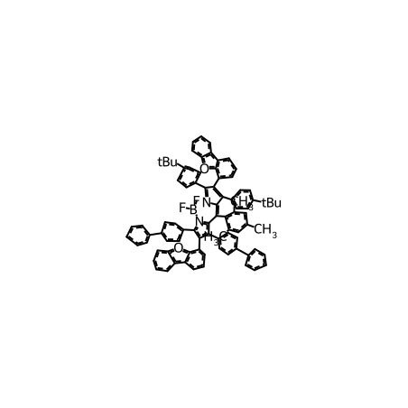 Cc1cc(C)c(/C(=C2/N=C(c3ccc(C(C)(C)C)cc3)C(c3cccc4c3oc3ccccc34)=C2c2ccc(C(C)(C)C)cc2)c2c(-c3ccc(-c4ccccc4)cc3)c(-c3cccc4c3oc3ccccc34)c(-c3ccc(-c4ccccc4)cc3)n2B(F)F)c(C)c1